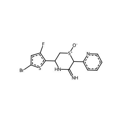 N=C1NC(c2sc(Br)cc2F)C[S+]([O-])C1c1ccccn1